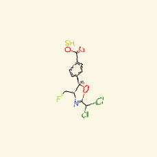 O=C(OS)c1ccc([C@H]2OC(C(Cl)Cl)=NC2CF)cc1